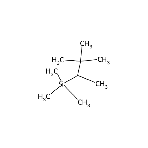 CC(C(C)(C)C)[Si](C)(C)C